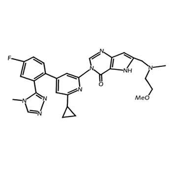 COCCN(C)Cc1cc2ncn(-c3cc(-c4ccc(F)cc4-c4nncn4C)cc(C4CC4)n3)c(=O)c2[nH]1